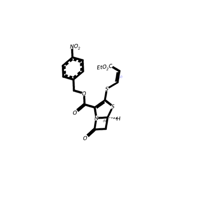 CCOC(=O)/C=C\SC1=C(C(=O)OCc2ccc([N+](=O)[O-])cc2)N2C(=O)C[C@@H]2S1